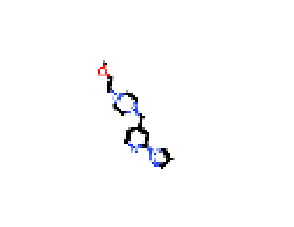 COCCN1CCN(Cc2ccnc(-n3c[c]cn3)c2)CC1